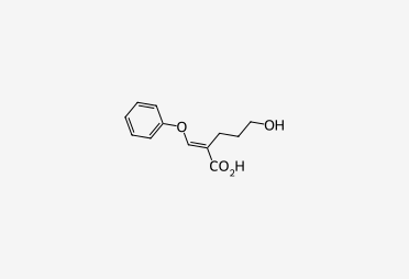 O=C(O)C(=COc1ccccc1)CCCO